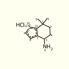 CC1(C)CCC(N)c2ccsc21.Cl